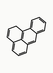 C1=Cc2cccc3cc4ccccc4c(c23)C1